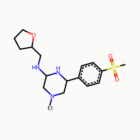 CCN1CC(NCC2CCCO2)NC(c2ccc(S(C)(=O)=O)cc2)C1